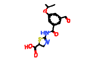 CC(C)Oc1cc(C=O)cc(C(=O)NC2=NCC(C(=O)O)S2)c1